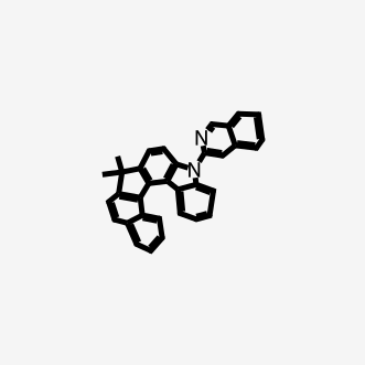 CC1(C)c2ccc3ccccc3c2-c2c1ccc1c2c2ccccc2n1-c1cc2ccccc2cn1